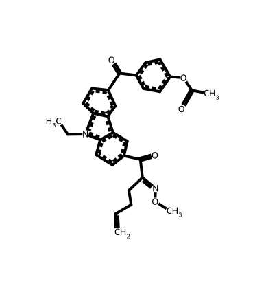 C=CCC/C(=N\OC)C(=O)c1ccc2c(c1)c1cc(C(=O)c3ccc(OC(C)=O)cc3)ccc1n2CC